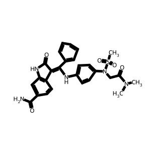 CN(C)C(=O)CN(c1ccc(NC(=C2C(=O)Nc3cc(C(N)=O)ccc32)c2ccccc2)cc1)S(C)(=O)=O